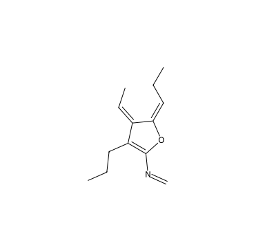 C=Nc1oc(=C/CC)/c(=C\C)c1CCC